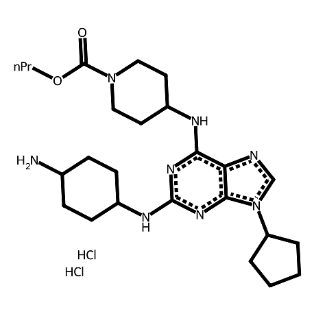 CCCOC(=O)N1CCC(Nc2nc(NC3CCC(N)CC3)nc3c2ncn3C2CCCC2)CC1.Cl.Cl